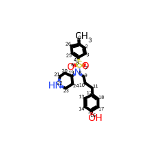 Cc1ccc(S(=O)(=O)N(CCCc2ccc(O)cc2)C2CCNCC2)cc1